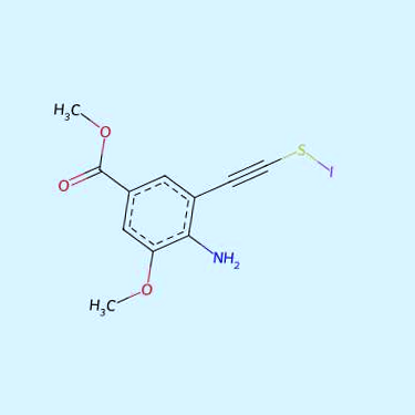 COC(=O)c1cc(C#CSI)c(N)c(OC)c1